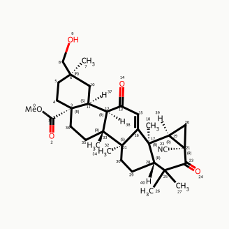 COC(=O)[C@]12CC[C@@](C)(CO)C[C@H]1[C@H]1C(=O)C=C3[C@@]4(C)[C@H]5C[C@@]5(C#N)C(=O)C(C)(C)[C@@H]4CC[C@@]3(C)[C@]1(C)CC2